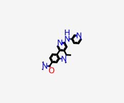 CC1c2cc(Nc3cccnc3)ncc2-c2ccc(C(=O)N(C)C)cc2N1C